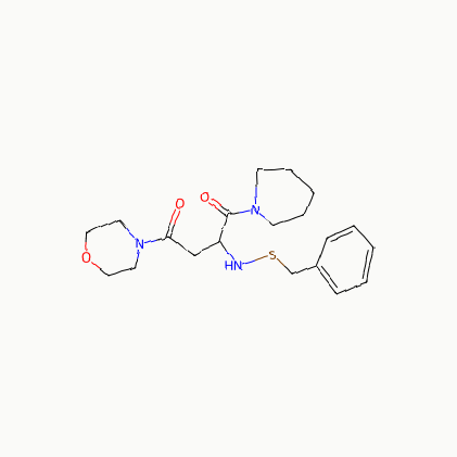 O=C(CC(NSCc1ccccc1)C(=O)N1CCCCC1)N1CCOCC1